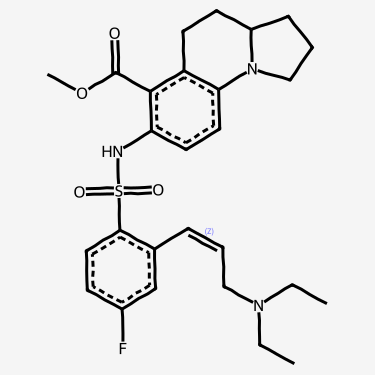 CCN(CC)C/C=C\c1cc(F)ccc1S(=O)(=O)Nc1ccc2c(c1C(=O)OC)CCC1CCCN21